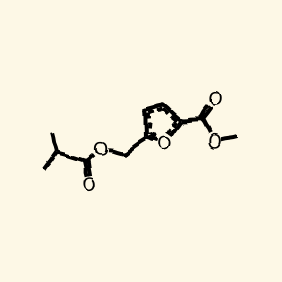 COC(=O)c1ccc(COC(=O)C(C)C)o1